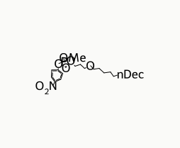 CCCCCCCCCCCCCCCOCCCOP(=O)(OC)Oc1ccc([N+](=O)[O-])cc1